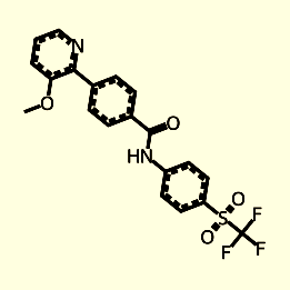 COc1cccnc1-c1ccc(C(=O)Nc2ccc(S(=O)(=O)C(F)(F)F)cc2)cc1